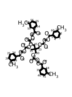 Cc1cccc(C(=O)OOC(=O)OCC(COC(=O)OOC(=O)c2cccc(C)c2)(COC(=O)OOC(=O)c2cccc(C)c2)COC(=O)OOC(=O)c2cccc(C)c2)c1